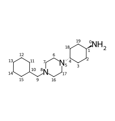 N[C@H]1CC[C@H](N2CCN(CC3CCCCC3)CC2)CC1